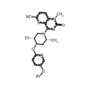 CC[C@@H]1CN(c2nc(=O)n(C)c3ccc(C#N)nc23)[C@H](C)C[C@H]1Oc1ccc(OC(C)C)cn1